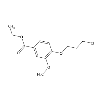 CCOC(=O)c1ccc(OCCCCl)c(OC)c1